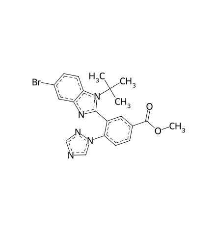 COC(=O)c1ccc(-n2cncn2)c(-c2nc3cc(Br)ccc3n2C(C)(C)C)c1